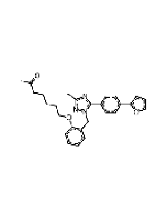 CC(=O)CCCCCOc1ccccc1Cn1nc(C)nc1-c1ccc(-c2ccco2)cc1